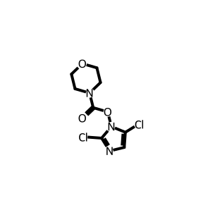 O=C(On1c(Cl)cnc1Cl)N1CCOCC1